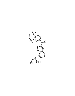 CC1(C)CCC(C)(C)c2cc(C(=O)c3ccc4c(CC(O)CO)[c]ccc4c3)ccc21